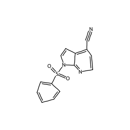 N#Cc1ccnc2c1ccn2S(=O)(=O)c1ccccc1